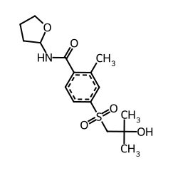 Cc1cc(S(=O)(=O)CC(C)(C)O)ccc1C(=O)NC1CCCO1